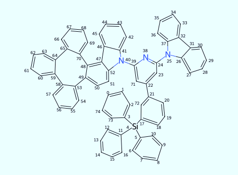 c1ccc([Si](c2ccccc2)(c2ccccc2)c2cccc(-c3cc(-n4c5ccccc5c5ccccc54)nc(-n4c5ccccc5c5c6c(ccc54)-c4ccccc4-c4ccccc4-c4ccccc4-6)c3)c2)cc1